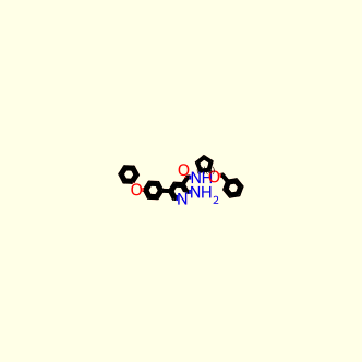 Nc1ncc(-c2ccc(Oc3ccccc3)cc2)cc1C(=O)N[C@H]1CCC[C@@H]1OCc1ccccc1